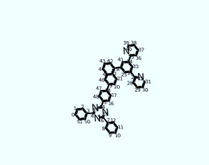 c1ccc(-c2nc(-c3ccccc3)nc(-c3ccc(-c4ccc5c(-c6cc(-c7ccccn7)cc(-c7ccccn7)c6)cccc5c4)cc3)n2)cc1